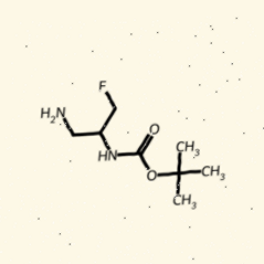 CC(C)(C)OC(=O)NC(CN)CF